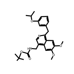 COc1cc2c(CNC(=O)OC(C)(C)C)cnc(Cc3cccc(OC(C)C)c3)c2cc1OC